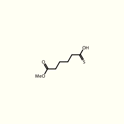 COC(=O)CCCCC(O)=S